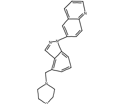 c1cnc2ccc(-n3ncc4c(CN5CCOCC5)cccc43)cc2c1